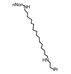 CCCCCCCCCNCCCCCCCCCCCCCCCCNCCC(C)C